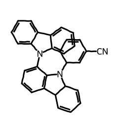 N#CC1=CC(N2c3c(cccc3-n3c4ccccc4c4ccccc43)C3C=CC=CC32)CC=C1